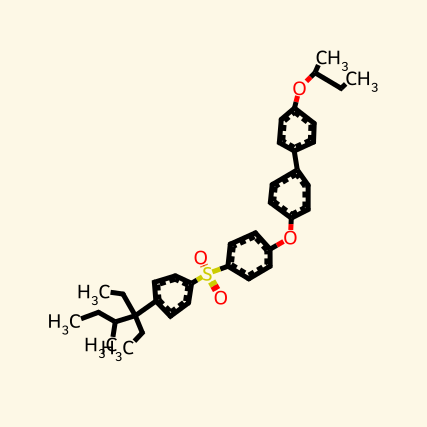 CCC(C)Oc1ccc(-c2ccc(Oc3ccc(S(=O)(=O)c4ccc(C(CC)(CC)C(C)CC)cc4)cc3)cc2)cc1